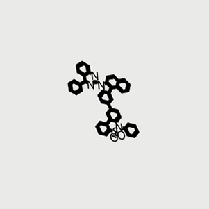 O=S1(=O)c2ccccc2-c2cc(-c3ccc4c(c3)c3c5ccccc5ccc3n4-c3nc(-c4ccccc4)c4ccccc4n3)ccc2N1c1ccccc1